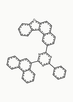 c1ccc(-c2nc(-c3ccc4ccc5oc6ccccc6c5c4c3)nc(-c3cc4ccccc4c4ccccc34)n2)cc1